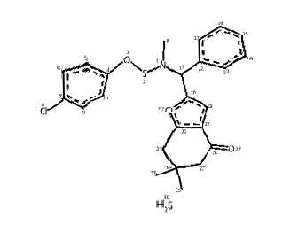 CN(SOc1ccc(Cl)cc1)C(c1ccccc1)c1cc2c(o1)CC(C)(C)CC2=O.S